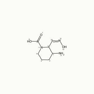 NC1CCCN(C(=O)O)C1/C=N\O